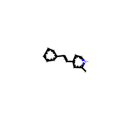 Cc1cc(/C=C/c2ccccc2)ccn1